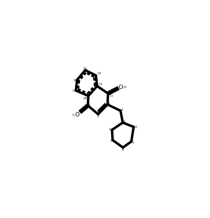 O=C1C=C(CC2CCCCC2)C(=O)c2ccccc21